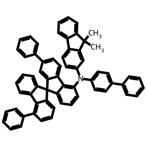 CC1(C)c2ccccc2-c2ccc(N(c3ccc(-c4ccccc4)cc3)c3cccc4c3-c3ccc(-c5ccccc5)cc3C43c4ccccc4-c4c(-c5ccccc5)cccc43)cc21